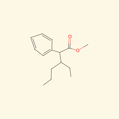 CCCC(CC)C(C(=O)OC)c1ccccc1